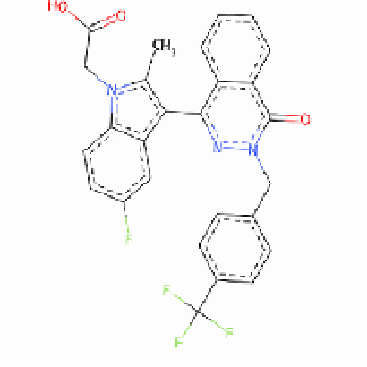 Cc1c(-c2nn(Cc3ccc(C(F)(F)F)cc3)c(=O)c3ccccc23)c2cc(F)ccc2n1CC(=O)O